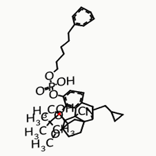 COC12CCC3(CC1C(C)(O)C(C)(C)C)C1Cc4ccc(OP(=O)(O)OCCCCCCc5ccccc5)c5c4C3(CCN1CC1CC1)C2O5